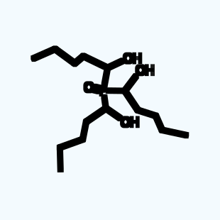 CCCCC(O)P(=O)(C(O)CCCC)C(O)CCCC